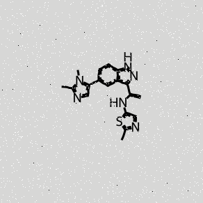 C=C(Nc1cnc(C)s1)c1n[nH]c2ccc(-c3cnc(C)n3C)cc12